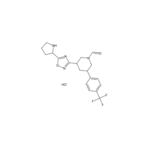 Cl.O=CN1CC(c2ccc(C(F)(F)F)cc2)CC(c2noc(C3CCCN3)n2)C1